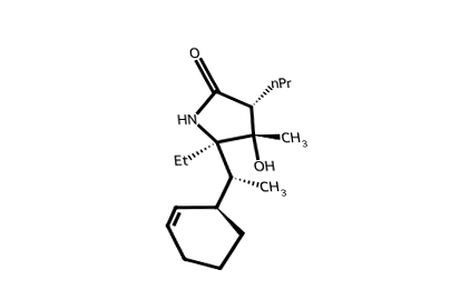 CCC[C@H]1C(=O)N[C@](CC)([C@H](C)[C@@H]2C=CCCC2)[C@@]1(C)O